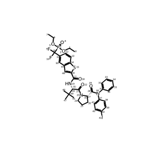 CCOP(=O)(OCC)C(F)(F)c1ccc2sc(C(=O)N[C@H](C(=O)N3CCC[C@H]3C(=O)N(c3ccccc3)c3ccc(I)cc3)C(C)(C)C)cc2c1